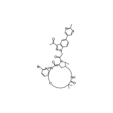 CC(=O)c1nn(CC(=O)N2C3C[C@@]34CCNC(=O)C(C)(C)CCCCOCc3ccc(Br)nc3NC(=O)[C@@H]2C4)c2ccc(-c3cnc(C)nc3)cc12